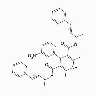 CC1=C(C(=O)OC(C)/C=C/c2ccccc2)C(c2cccc([N+](=O)[O-])c2)C(C(=O)OC(C)/C=C/c2ccccc2)=C(C)N1